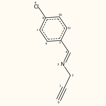 C#CCN=Cc1ccc(Cl)cc1